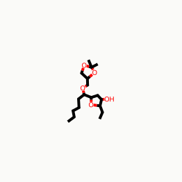 CCCCCC(OCC1COC(C)(C)O1)C1CC(O)C(CC)O1